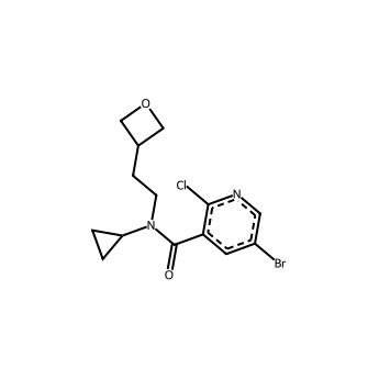 O=C(c1cc(Br)cnc1Cl)N(CCC1COC1)C1CC1